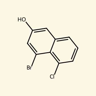 Oc1cc(Br)c2c(Cl)cccc2c1